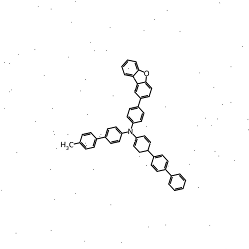 Cc1ccc(-c2ccc(N(C3=CCC(c4ccc(-c5ccccc5)cc4)C=C3)c3ccc(-c4ccc5oc6ccccc6c5c4)cc3)cc2)cc1